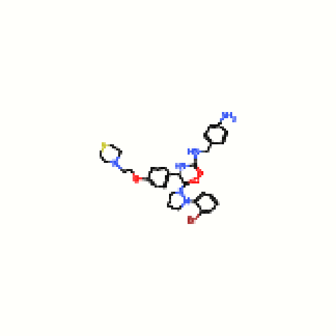 Nc1ccc(CNC(=O)N[C@H](C(=O)N2CCCN2c2ccccc2Br)c2ccc(OCCN3CCSCC3)cc2)cc1